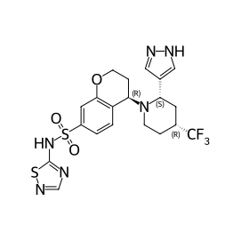 O=S(=O)(Nc1ncns1)c1ccc2c(c1)OCC[C@H]2N1CC[C@@H](C(F)(F)F)C[C@H]1c1cn[nH]c1